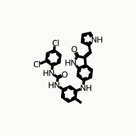 Cc1ccc(NC(=O)Nc2ccc(Cl)cc2Cl)cc1Nc1ccc2c(c1)NC(=O)/C2=C\c1ccc[nH]1